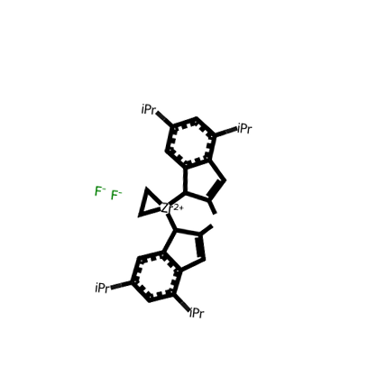 CC1=Cc2c(C(C)C)cc(C(C)C)cc2[CH]1[Zr+2]1([CH]2C(C)=Cc3c(C(C)C)cc(C(C)C)cc32)[CH2][CH2]1.[F-].[F-]